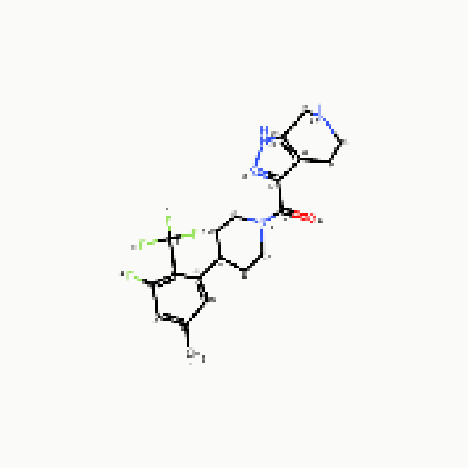 Cc1cc(F)c(C(F)(F)F)c(C2CCN(C(=O)c3n[nH]c4c3CCNC4)CC2)c1